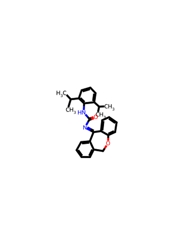 CC(C)c1cccc(C(C)C)c1NC(=O)N=C1c2ccccc2COc2ccccc21